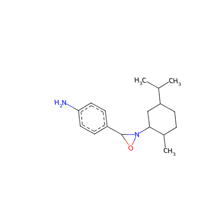 CC(C)C1CCC(C)C(N2OC2c2ccc(N)cc2)C1